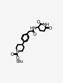 CC(C)(C)OC(=O)N1CCC(c2ccc(CC(=O)NC3CCC(=O)NC3=O)cc2)CC1